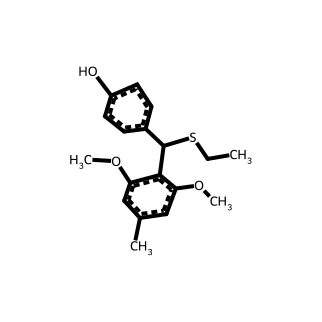 CCSC(c1ccc(O)cc1)c1c(OC)cc(C)cc1OC